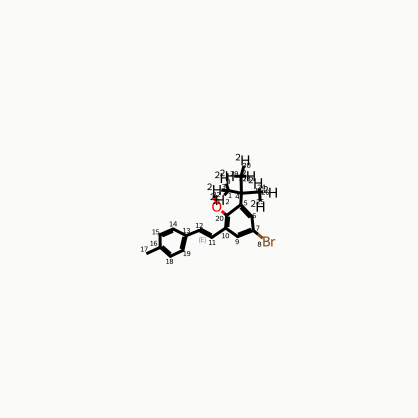 [2H]C([2H])([2H])C(c1cc(Br)cc(/C=C/c2ccc(C)cc2)c1OC)(C([2H])([2H])[2H])C([2H])([2H])[2H]